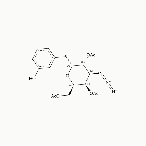 CC(=O)OC[C@H]1O[C@H](Sc2cccc(O)c2)[C@H](OC(C)=O)[C@@H](N=[N+]=[N-])[C@H]1OC(C)=O